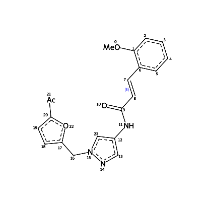 COc1ccccc1/C=C/C(=O)Nc1cnn(Cc2ccc(C(C)=O)o2)c1